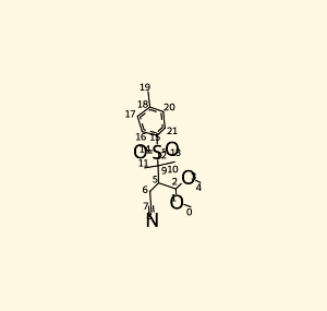 COC(OC)C(CC#N)C(C)(C)S(=O)(=O)c1ccc(C)cc1